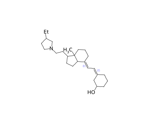 CCC1CCN(CCC2CCC3/C(=C/C=C4/CCCC(O)C4)CCCC23C)C1